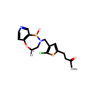 CC[C@@H]1CN(Cc2cc(CCC(=O)OC)sc2Cl)[S+]([O-])c2cnccc2O1